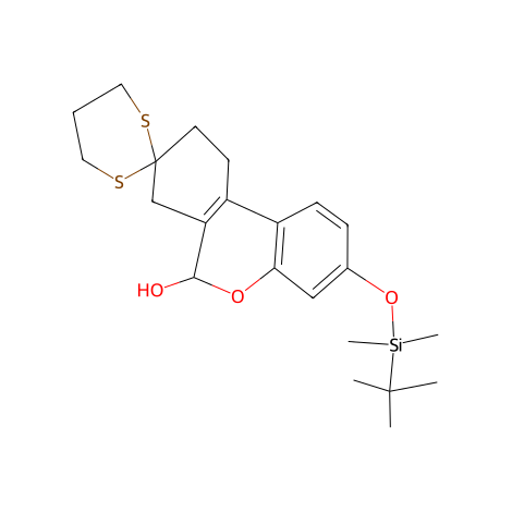 CC(C)(C)[Si](C)(C)Oc1ccc2c(c1)OC(O)C1=C2CCC2(C1)SCCCS2